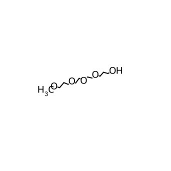 COCCCOCCOCCOCCCO